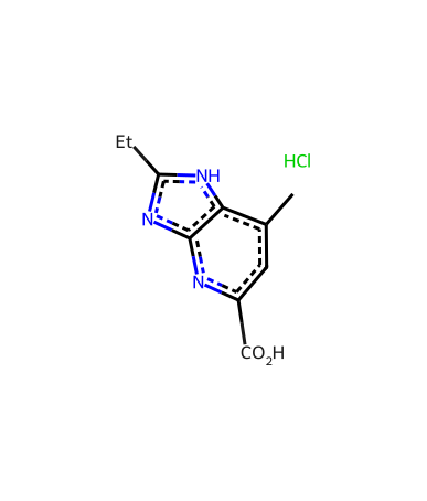 CCc1nc2nc(C(=O)O)cc(C)c2[nH]1.Cl